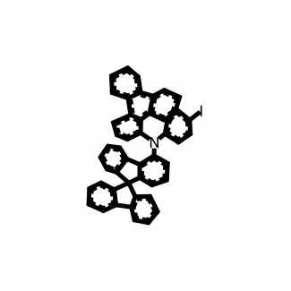 Ic1ccc(N(c2cccc3c2-c2ccccc2C32c3ccccc3-c3ccccc32)c2cccc3c4ccccc4c4ccccc4c23)cc1